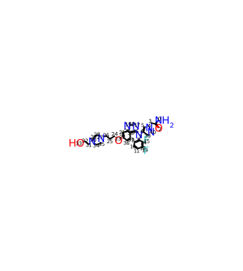 NC(=O)Cn1cc(N(c2cccc(F)c2F)c2ncnc3cc(OCCCN4CCN(CCO)CC4)ccc23)cn1